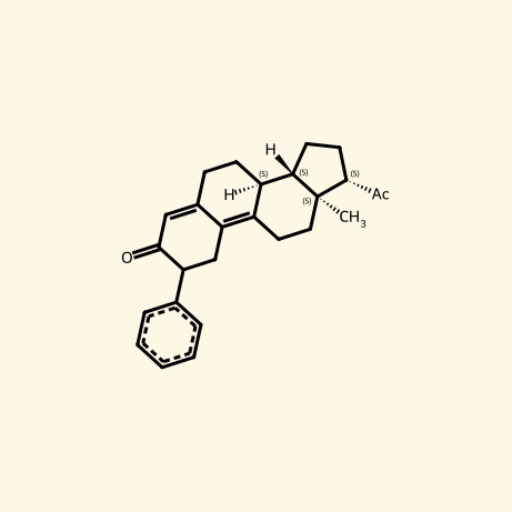 CC(=O)[C@H]1CC[C@H]2[C@@H]3CCC4=CC(=O)C(c5ccccc5)CC4=C3CC[C@]12C